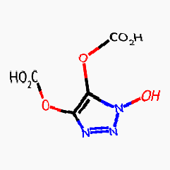 O=C(O)Oc1nnn(O)c1OC(=O)O